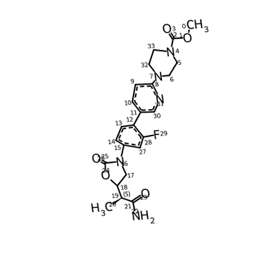 COC(=O)N1CCN(c2ccc(-c3ccc(N4CC([C@H](C)C(N)=O)OC4=O)cc3F)cn2)CC1